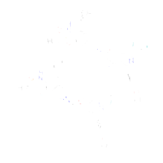 C#Cc1cc(CNC(=O)/C=C\c2ccc(C(F)(F)F)nc2C#CCOC)cc(F)c1NS(C)(=O)=O.C#Cc1cc(CNC(=O)/C=C\c2ccc(C(F)(F)F)nc2C#CCOC)cc(F)c1NS(C)(=O)=O